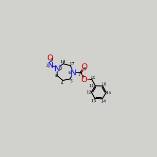 O=NN1CCCN(C(=O)OCc2ccccc2)CC1